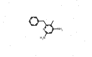 Cc1c(N)cc(N)nc1Cc1ccccc1